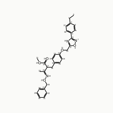 CCc1ccc(-c2noc(COc3ccc(CC(C(=O)OC)C(C)=NOCc4ccccc4)cc3)n2)cc1